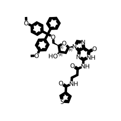 COc1ccc(C(OC[C@H]2O[C@@H](n3cnc4c(=O)[nH]c(NC(=O)CCNC(=O)c5ccsc5)nc43)C[C@H]2O)(c2ccccc2)c2ccc(OC)cc2)cc1